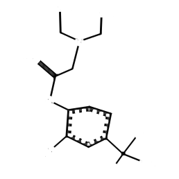 C=C(CN(CC)CC)Nc1ccc(C(C)(C)C)cc1N